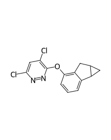 Clc1cc(Cl)c(Oc2cccc3c2CC2CC32)nn1